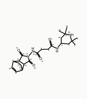 CC1(C)CC(NC(=O)CCC(=O)NN2C(=O)C3C4C=CC(CC4)C3C2=O)CC(C)(C)N1